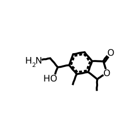 Cc1c(C(O)CN)ccc2c1C(C)OC2=O